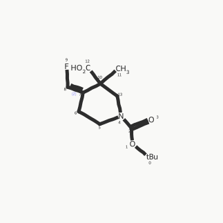 CC(C)(C)OC(=O)N1CC/C(=C/F)C(C)(C(=O)O)C1